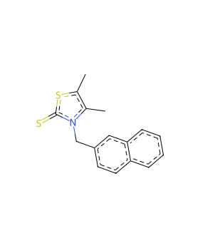 Cc1sc(=S)n(Cc2ccc3ccccc3c2)c1C